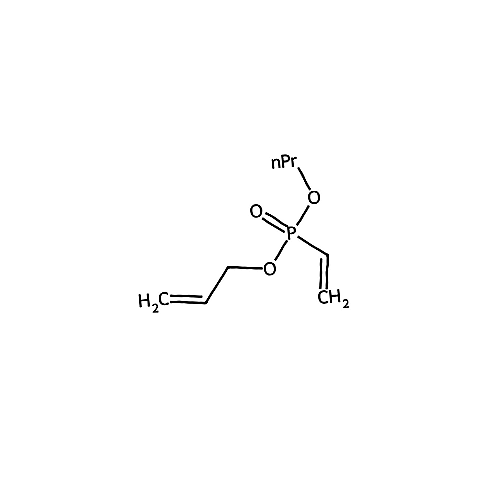 C=CCOP(=O)(C=C)OCCC